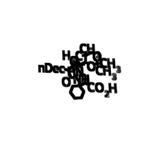 CCCCCCCCCCC(C(=O)NC1(C(CNC(=O)C2OC(C)(C)OCC2(C)C)C(=O)O)CCCCC1)C(C)C